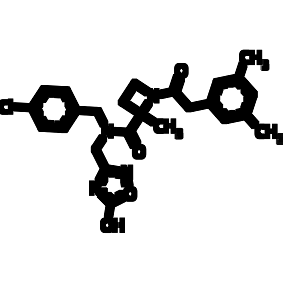 Cc1cc(C)cc(CC(=O)N2CCC2(C)C(=O)N(Cc2ccc(Cl)cc2)Cc2noc(O)n2)c1